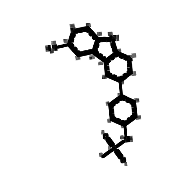 CS(=O)(=O)Nc1ccc(-c2cnc3[nH]c4cnc(N)cc4c3c2)cc1